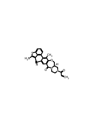 C=CC(=O)N1CCN2C(=O)c3cc(Cl)c(-c4cccc5sc(N)c(C#N)c45)c(C)c3OC[C@H]2C1